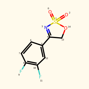 O=S1(=O)N=C(c2ccc(F)c(F)c2)CO1